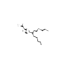 CCCCCCC(CCCCC)c1nc(C(F)F)no1